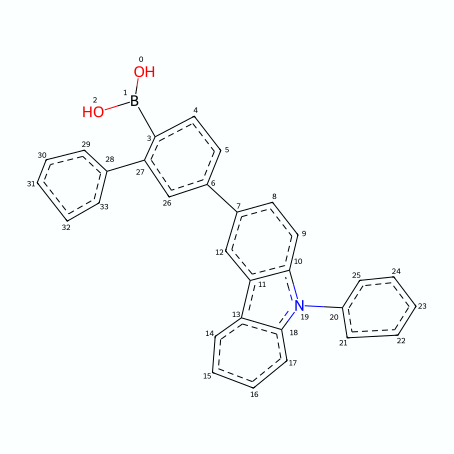 OB(O)c1ccc(-c2ccc3c(c2)c2ccccc2n3-c2ccccc2)cc1-c1ccccc1